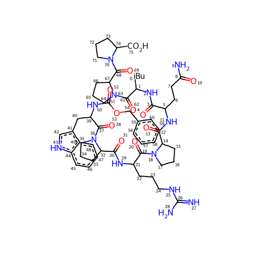 CCC(C)C(NC(=O)C(CCC(N)=O)NC(=O)C1CCCN1C(=O)C(CCCNC(=N)N)NC(=O)C1CCCN1C(=O)C(Cc1c[nH]c2ccccc12)NC(=O)OCc1ccccc1)C(=O)N1CCCC1C(=O)N1CCCC1C(=O)O